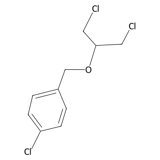 ClCC(CCl)OCc1ccc(Cl)cc1